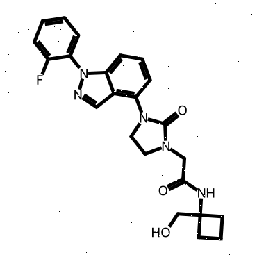 O=C(CN1CCN(c2cccc3c2cnn3-c2ccccc2F)C1=O)NC1(CO)CCC1